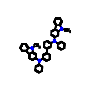 Cn1c2ccccc2c2ccc(N(c3ccccc3)c3cccc(-c4cccc(N(c5ccccc5)c5ccc6c7ccccc7n(C)c6c5)c4)c3)cc21